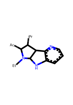 CCN1C2Nc3cccnc3C2C(C(C)C)C1C(C)=O